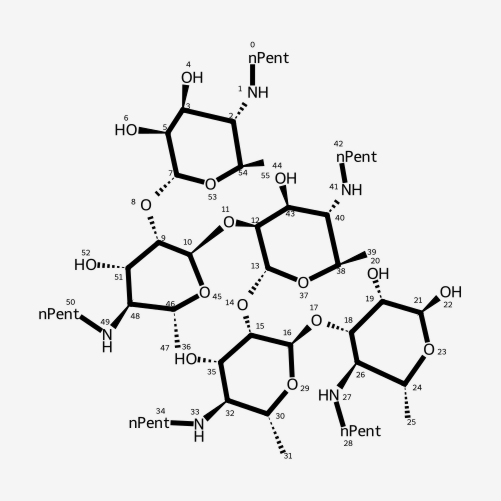 CCCCCN[C@H]1[C@H](O)[C@H](O)[C@@H](O[C@@H]2[C@@H](O[C@@H]3[C@@H](O[C@@H]4[C@@H](O[C@@H]5[C@H](O)[C@@H](O)O[C@H](C)[C@H]5NCCCCC)O[C@H](C)[C@@H](NCCCCC)[C@@H]4O)O[C@H](C)[C@@H](NCCCCC)[C@@H]3O)O[C@H](C)[C@@H](NCCCCC)[C@@H]2O)O[C@@H]1C